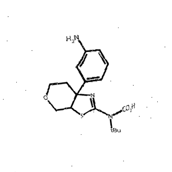 CC(C)(C)N(C(=O)O)C1=NC2(c3cccc(N)c3)CCOCC2S1